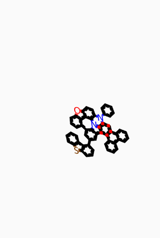 c1ccc(N(c2ccc3c4ccccc4c4ccccc4c3c2)c2ccc3oc4cccc5c6cc(-c7cccc8sc9ccccc9c78)cc7c8ccccc8n(c2c3c45)c67)cc1